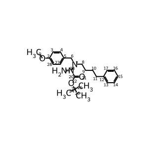 COc1ccc(CN(CCCCc2ccccc2)N(N)C(=O)OC(C)(C)C)cc1